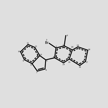 Cc1c(Br)c(C2C=Cc3ccccc32)cc2ccccc12